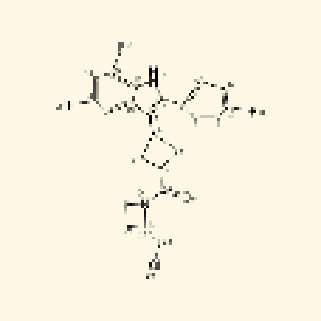 O=C([C@H]1C[C@H](c2c(-c3ccc(F)cc3)[nH]c3c(F)cc(F)cc32)C1)N1CC[C@H]1CO